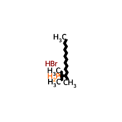 Br.CCCCCCCCCCCCC(CC)C(P)(CC)CC